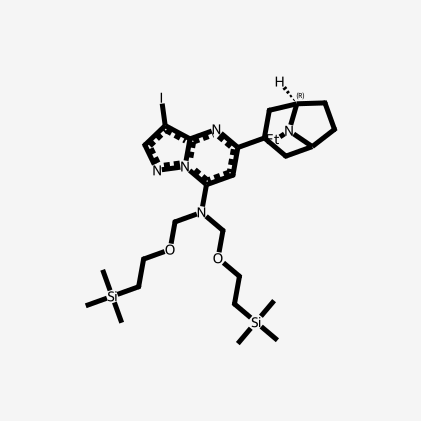 CCN1C2CC[C@@H]1CC(c1cc(N(COCC[Si](C)(C)C)COCC[Si](C)(C)C)n3ncc(I)c3n1)C2